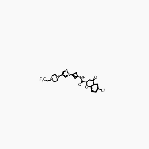 O=C1C[C@H](C(=O)NC23CC(n4cc(N5CCN(CC(F)(F)F)CC5)cn4)(C2)C3)Oc2ccc(Cl)cc21